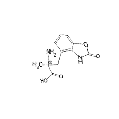 C[C@](N)(Cc1cccc2oc(=O)[nH]c12)C(=O)O